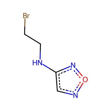 BrCCNc1cnon1